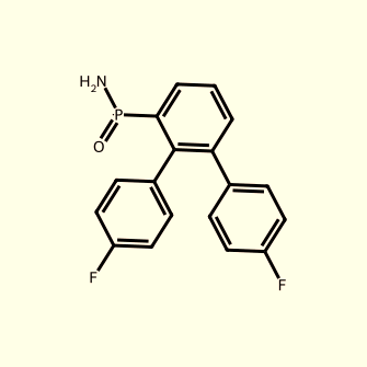 N[P](=O)c1cccc(-c2ccc(F)cc2)c1-c1ccc(F)cc1